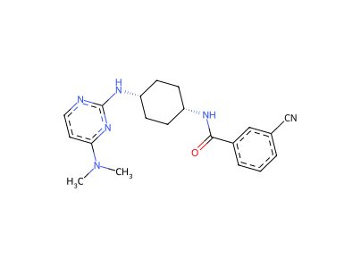 CN(C)c1ccnc(N[C@H]2CC[C@@H](NC(=O)c3cccc(C#N)c3)CC2)n1